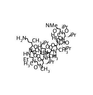 CC[C@H](NC(=O)C[C@H](O)[C@H](C)CCN)C(=O)N(C)CC(=O)N(C)[C@@H](CC(C)C)C(=O)N[C@H](C(=O)N(C)[C@@H](CC(C)C)C(=O)N[C@@H](C)C(=O)N[C@H](C)C(=O)N(C)[C@@H](CC(C)C)C(=O)N(C)[C@@H](CC(C)C)C(=O)N(C)[C@H](C(=O)NC)C(C)C)C(C)C